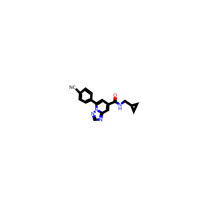 N#Cc1ccc(-c2cc(C(=O)NCC3CC3)cc3ncnn23)cc1